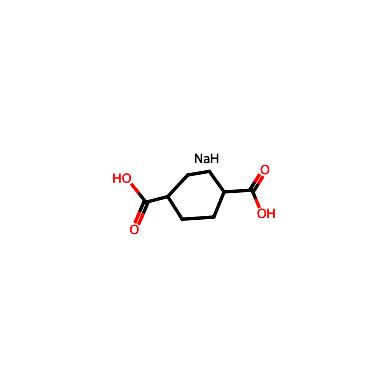 O=C(O)C1CCC(C(=O)O)CC1.[NaH]